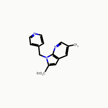 CCOC(=O)c1cc2cc(C(F)(F)F)cnc2n1Cc1ccncc1